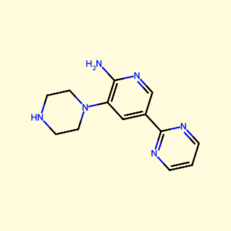 Nc1ncc(-c2ncccn2)cc1N1CCNCC1